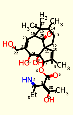 CCC(=N)/C(C(=O)OC1C(C)=CC23CCC(C)C(C)(C)C(C=C(CO)C(O)C12O)C3=O)=C(/C)O